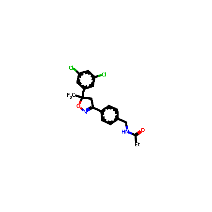 CCC(=O)NCc1ccc(C2=NOC(c3cc(Cl)cc(Cl)c3)(C(F)(F)F)C2)cc1